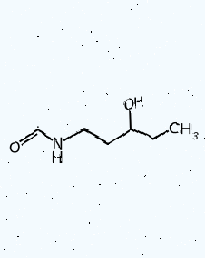 CCC(O)CCN[C]=O